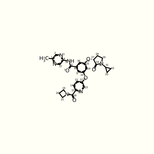 Cc1cnc(NC(=O)c2cc(Oc3ccc(C(=O)N4CCC4)nc3)cc(O[C@@H]3CCN(C4CC4)C3=O)c2)cn1